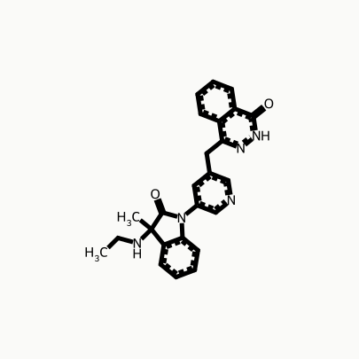 CCNC1(C)C(=O)N(c2cncc(Cc3n[nH]c(=O)c4ccccc34)c2)c2ccccc21